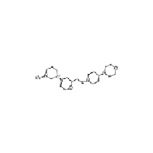 CC(C)N1CCC[C@H](N2CCOC(CSN3CCC(N4CCOCC4)CC3)C2)C1